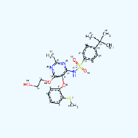 CSc1ccccc1Oc1c(NS(=O)(=O)c2ccc(C(C)(C)C)cc2)nc(C)nc1OCCO